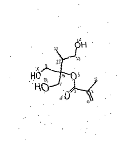 C=C(C)C(=O)OC(CO)(CO)C(C)CO